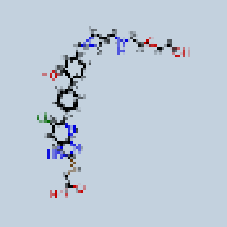 O=C(O)CSc1nc2nc(-c3ccc(-c4ccc(CN5CC(CNCCOCCO)C5)cc4O)cc3)c(Cl)cc2[nH]1